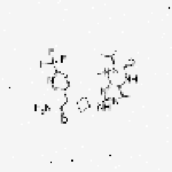 Cc1nc(N[C@H]2C[C@@H](C(C(N)=O)c3ccc(C(F)(F)F)nc3)C2)nc2c1NC(=O)[C@H](C(C)C)N2C